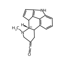 CN1CC(=C=O)CC2c3cccc4[nH]c5c(c34)C(C=C5)[C@H]21